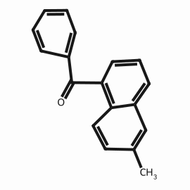 Cc1ccc2c(C(=O)c3ccccc3)cccc2c1